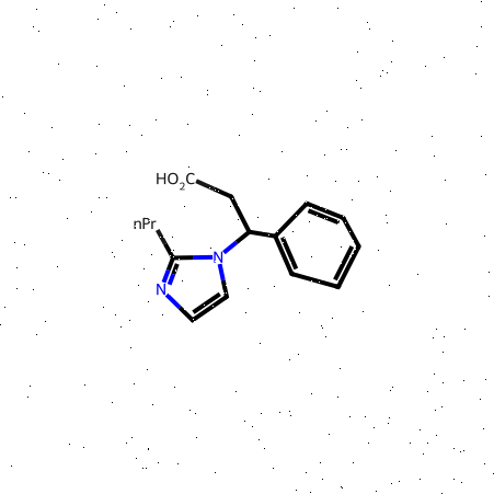 CCCc1nccn1C(CC(=O)O)c1ccccc1